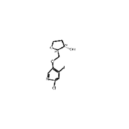 O[C@H]1CCO[C@@H]1COc1cnc(Cl)cc1I